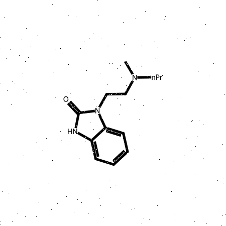 CCCN(C)CCn1c(=O)[nH]c2ccccc21